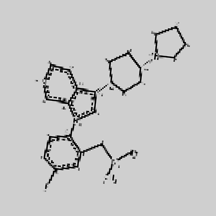 CC(C)N(C)Cc1cc(F)ccc1-n1cc([C@H]2CC[C@@H](N3CCCC3)CC2)c2ccncc21